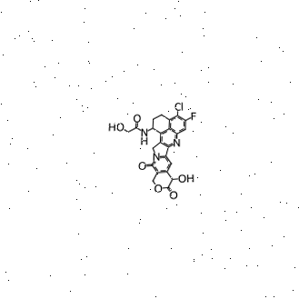 O=C(CO)NC1CCc2c(Cl)c(F)cc3nc4c(c1c23)Cn1c-4cc2c(c1=O)COC(=O)C2O